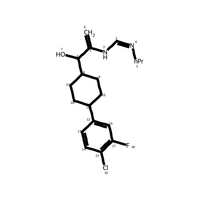 C=C(N/C=N\CCC)C(O)C1CCC(c2ccc(Cl)c(F)c2)CC1